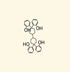 Oc1ccccc1C1(c2ccccc2O)CCC(C2CCC(c3ccccc3O)(c3ccccc3O)CC2)CC1